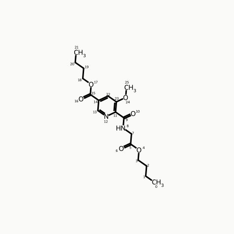 CCCCOC(=O)CNC(=O)c1ncc(C(=O)OCCCC)cc1OC